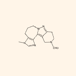 Cn1cnc2c1CCCn1nc3c(c1-2)CN(C=O)CC3